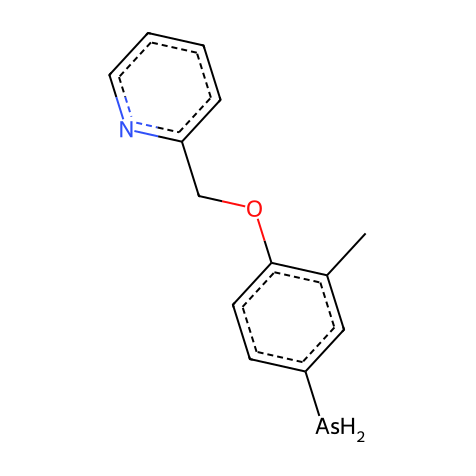 Cc1cc([AsH2])ccc1OCc1ccccn1